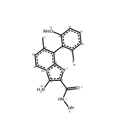 CCCNC(=O)c1nc2c(-c3c(F)cccc3OC)c(C)ccn2c1N